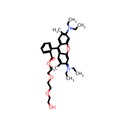 CCN(CC)c1cc2oc3cc(=[N+](CC)CC)c(C)cc-3c(-c3ccccc3C(=O)OCCOCCOCCO)c2cc1C